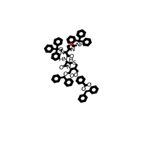 O=C(NC1C(=O)N2C(C(=O)OC(c3ccccc3)c3ccccc3)=C(COc3ccc(C(=O)OC(c4ccccc4)c4ccccc4)cc3)CS[C@@H]12)C(=NOC(c1ccccc1)(c1ccccc1)c1ccccc1)c1csc(NC(c2ccccc2)(c2ccccc2)c2ccccc2)n1